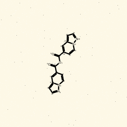 O=C(OC(=O)c1ccn2nccc2c1)c1ccn2nccc2c1